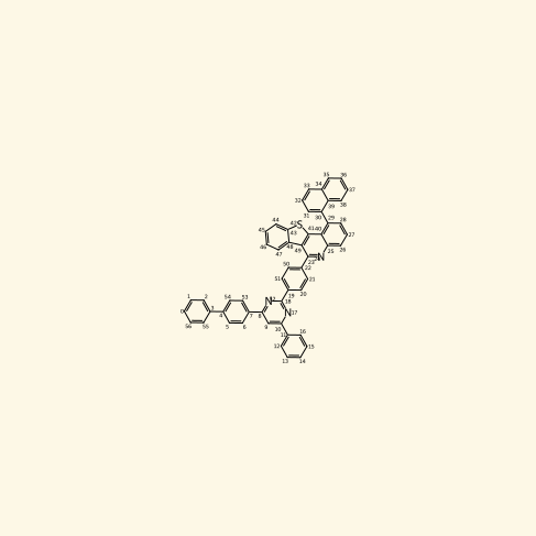 c1ccc(-c2ccc(-c3cc(-c4ccccc4)nc(-c4ccc(-c5nc6cccc(-c7cccc8ccccc78)c6c6sc7ccccc7c56)cc4)n3)cc2)cc1